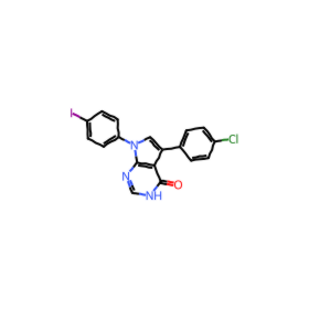 O=c1[nH]cnc2c1c(-c1ccc(Cl)cc1)cn2-c1ccc(I)cc1